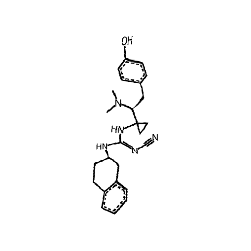 CN(C)[C@@H](Cc1ccc(O)cc1)C1(NC(=NC#N)N[C@@H]2CCc3ccccc3C2)CC1